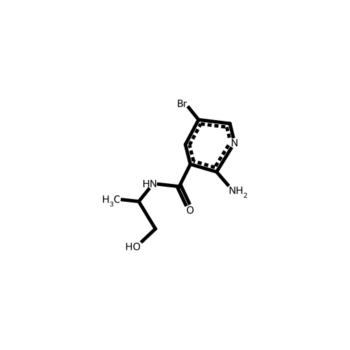 CC(CO)NC(=O)c1cc(Br)cnc1N